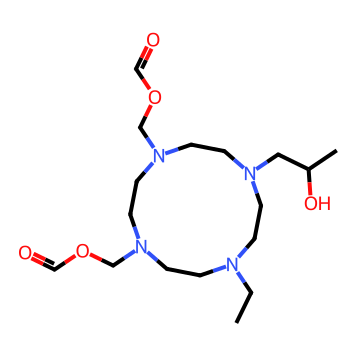 CCN1CCN(COC=O)CCN(COC=O)CCN(CC(C)O)CC1